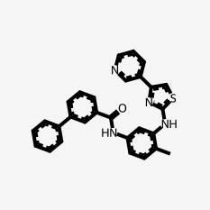 Cc1ccc(NC(=O)c2cccc(-c3ccccc3)c2)cc1Nc1nc(-c2cccnc2)cs1